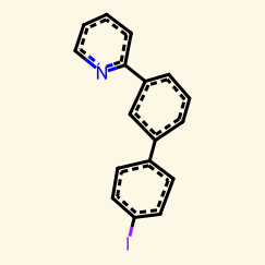 Ic1ccc(-c2cccc(-c3ccccn3)c2)cc1